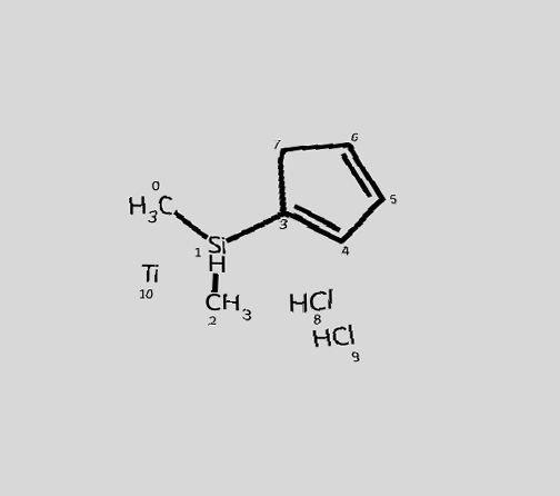 C[SiH](C)C1=CC=CC1.Cl.Cl.[Ti]